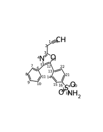 C#CCc1nc(-c2ccccc2)c(-c2ccc(S(N)(=O)=O)cc2)o1